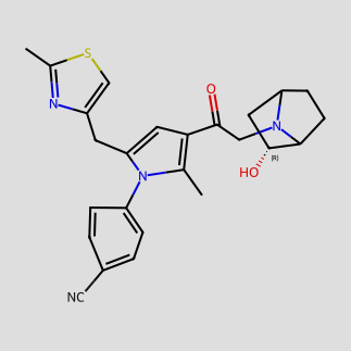 Cc1nc(Cc2cc(C(=O)CN3C4CCC3[C@H](O)C4)c(C)n2-c2ccc(C#N)cc2)cs1